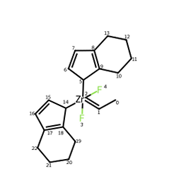 C[CH]=[Zr]([F])([F])([CH]1C=CC2=C1CCCC2)[CH]1C=CC2=C1CCCC2